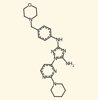 Nc1nc(Nc2ccc(CN3CCOCC3)cc2)nn1-c1ccnc(N2CCCCC2)n1